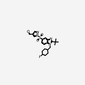 CC(C)(C)c1nc2cc(S(=O)(=O)n3cc(C=O)cn3)ccc2n1CC1CCC(F)CC1